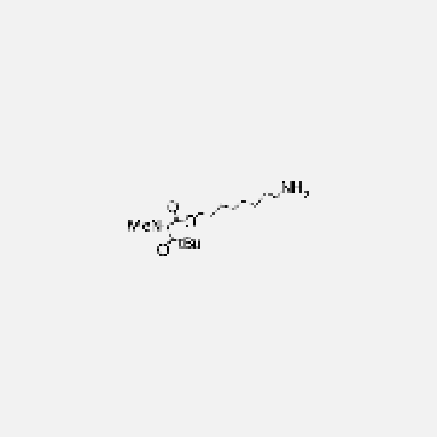 CN[C@H](C(=O)OCCCCCCCCN)C(=O)C(C)(C)C